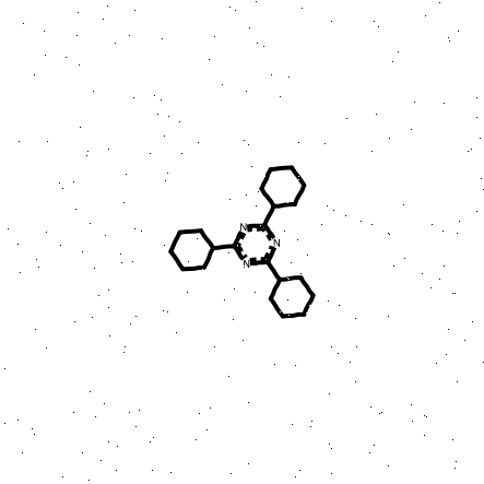 C1CCC(c2nc(C3CCCCC3)nc(C3CCCCC3)n2)CC1